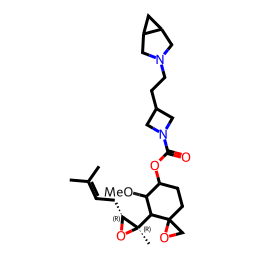 COC1C(OC(=O)N2CC(CCN3CC4CC4C3)C2)CCC2(CO2)C1[C@@]1(C)O[C@@H]1CC=C(C)C